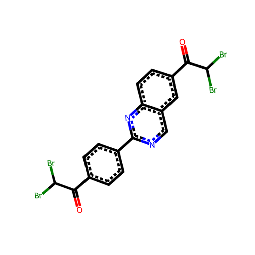 O=C(c1ccc(-c2ncc3cc(C(=O)C(Br)Br)ccc3n2)cc1)C(Br)Br